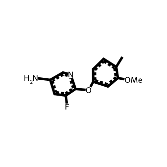 COc1cc(Oc2ncc(N)cc2F)ccc1C